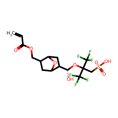 C=CC(=O)OCC1CC2OC1CC2[C@@H](O)OC(CS(=O)(=O)O)(C(F)(F)F)C(F)(F)F